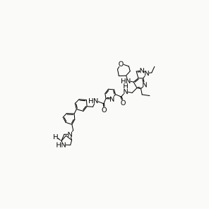 CCc1nc2c(cnn2CC)c(NC2CCOCC2)c1CNC(=O)c1cccc(C(=O)NCc2cccc(-c3cccc(CN4C[C@@H]5CC4CN5)c3)c2)n1